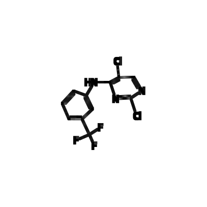 FC(F)(F)c1cccc(Nc2nc(Cl)ncc2Cl)c1